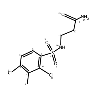 Cc1c(Cl)ccc(S(=O)(=O)NCCC(N)=O)c1Cl